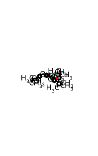 CCC(C)(C)OC(=O)c1ccc(Oc2ccc(C(=O)Oc3ccc(C4(c5ccc(C(C)(CC)CC)c(C)c5)CC(C)CC(C)(C)C4)cc3C)cc2)cc1